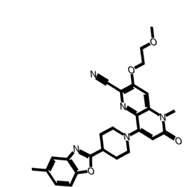 COCCOc1cc2c(nc1C#N)c(N1CCC(c3nc4cc(C)ccc4o3)CC1)cc(=O)n2C